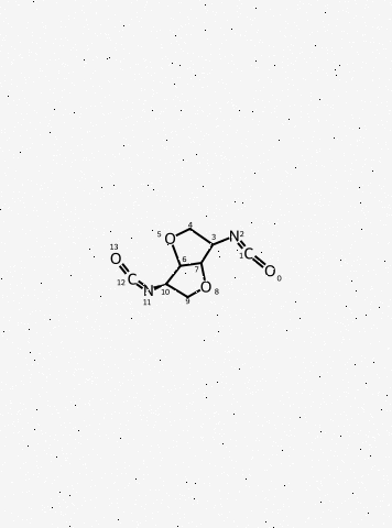 O=C=NC1COC2C1OC[C@H]2N=C=O